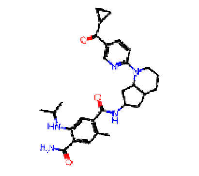 Cc1cc(C(N)=O)c(NC(C)C)cc1C(=O)NC1CC2CCCN(c3ccc(C(=O)C4CC4)cn3)C2C1